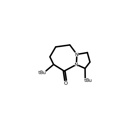 CC(C)(C)C1CCCN2CCC(C(C)(C)C)N2C1=O